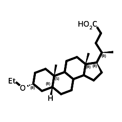 CCO[C@@H]1CC[C@]2(C)C3CC[C@@]4(C)C(CC[C@@H]4[C@H](C)CCC(=O)O)C3CC[C@@H]2C1